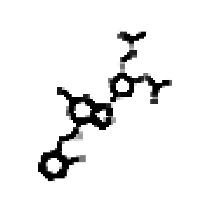 CC(=O)OC[C@H]1O[C@@H](n2ncc3c(NCc4ccccc4Cl)nc(Cl)nc32)C[C@@H]1OC(C)=O